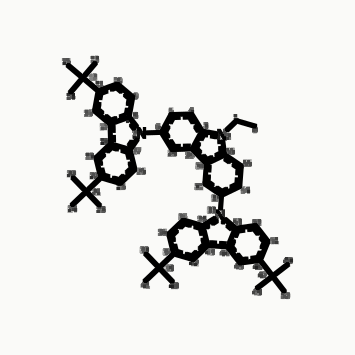 CCn1c2ccc(-n3c4ccc(C(C)(C)C)cc4c4cc(C(C)(C)C)ccc43)cc2c2cc(-n3c4ccc(C(C)(C)C)cc4c4cc(C(C)(C)C)ccc43)ccc21